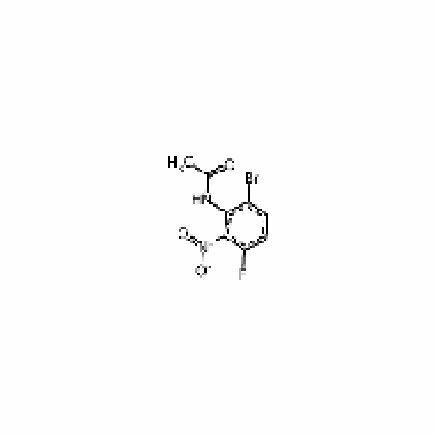 CC(=O)Nc1c(Br)ccc(F)c1[N+](=O)[O-]